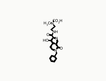 CN(CCNC(=O)c1ncc2c(=O)n(Cc3ccccc3)ccc2c1O)C(=O)O